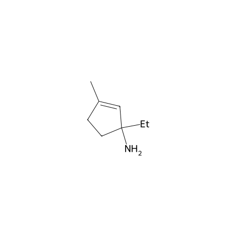 CCC1(N)C=C(C)CC1